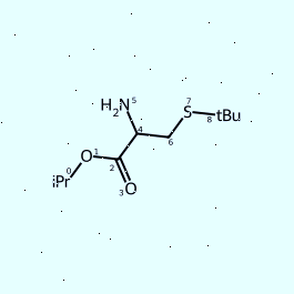 CC(C)OC(=O)C(N)CSC(C)(C)C